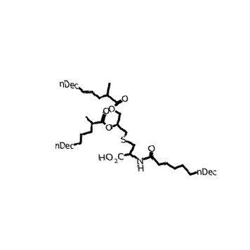 CCCCCCCCCCCCCCCC(=O)NC(CSCC(COC(=O)C(C)CCCCCCCCCCCCC)OC(=O)C(C)CCCCCCCCCCCCC)C(=O)O